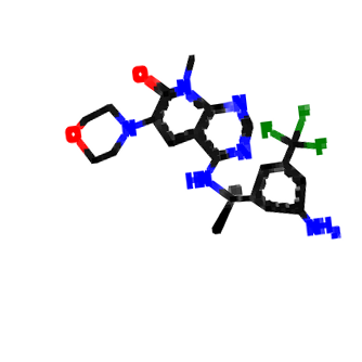 C[C@@H](Nc1ncnc2c1cc(N1CCOCC1)c(=O)n2C)c1cc(N)cc(C(F)(F)F)c1